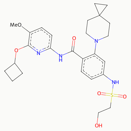 COc1ccc(NC(=O)c2ccc(NS(=O)(=O)CCO)cc2N2CCC3(CC2)CC3)nc1OC1CCC1